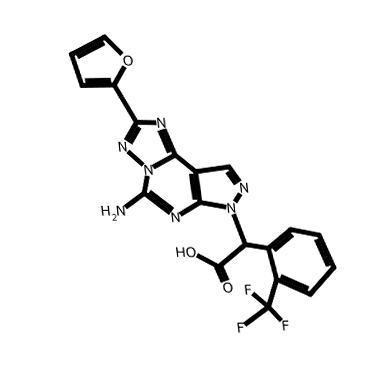 Nc1nc2c(cnn2C(C(=O)O)c2ccccc2C(F)(F)F)c2nc(-c3ccco3)nn12